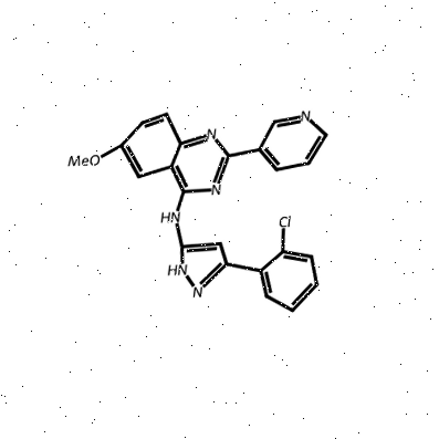 COc1ccc2nc(-c3cccnc3)nc(Nc3cc(-c4ccccc4Cl)n[nH]3)c2c1